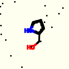 O[CH]c1ccc[nH]1